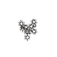 c1ccc(-c2nc(-c3ccccc3)nc(-n3c4ccccc4c4c5oc6ccccc6c5cc(-c5ccc6oc7ccccc7c6c5)c43)n2)cc1